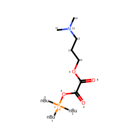 CCCC[PH](CCCC)(CCCC)OC(=O)C(=O)OCCCN(C)C